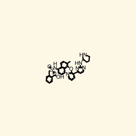 Cc1ccc2c(NS(=O)(=O)Cc3ccccc3CO)cccc2c1Oc1ncccc1-c1ccnc(N[C@H]2CCCNC2)n1